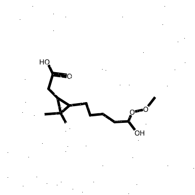 COOC(O)CCCCC1C(CC(=O)O)C1(C)C